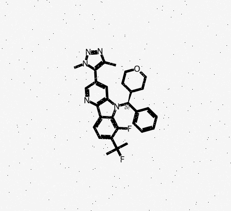 Cc1nnn(C)c1-c1cnc2c3ccc(C(C)(C)F)c(F)c3n([C@H](c3ccccc3)C3CCOCC3)c2c1